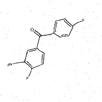 CC(C)c1cc(C(=O)c2ccc(F)cc2)ccc1F